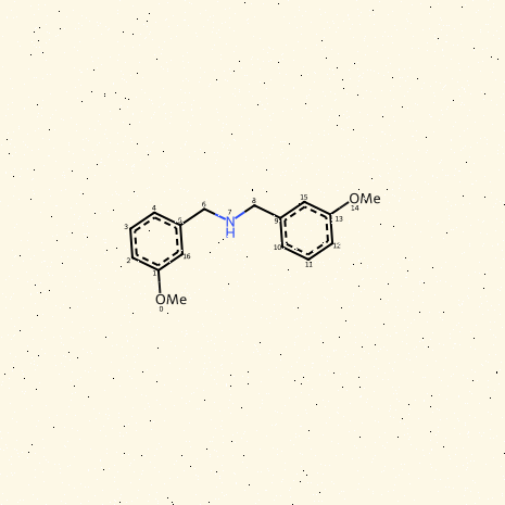 COc1cccc(CNCc2cccc(OC)c2)c1